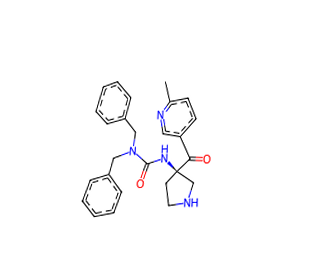 Cc1ccc(C(=O)[C@@]2(NC(=O)N(Cc3ccccc3)Cc3ccccc3)CCNC2)cn1